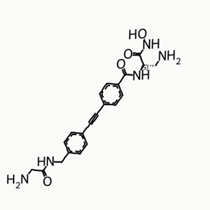 NCC(=O)NCc1ccc(C#Cc2ccc(C(=O)N[C@@H](CN)C(=O)NO)cc2)cc1